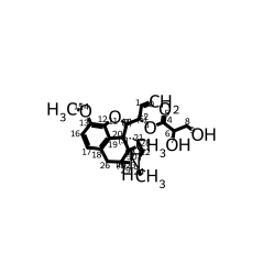 C=C[C@H](OC(=O)C(O)CO)[C@@H]1Oc2c(OC)ccc3c2[C@@]12CCN(C)[C@H](C3)[C@@H]2C